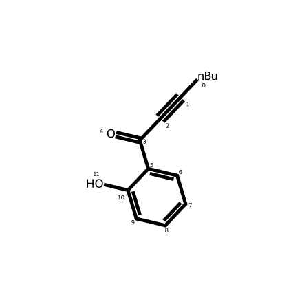 CCCCC#CC(=O)c1ccccc1O